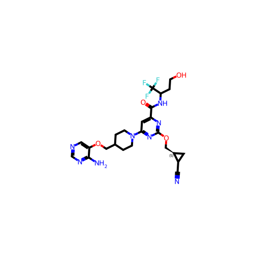 N#CC1C[C@@H]1COc1nc(C(=O)NC(CCO)C(F)(F)F)cc(N2CCC(COc3cncnc3N)CC2)n1